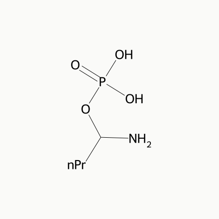 CCCC(N)OP(=O)(O)O